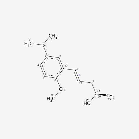 COc1ccc(C(C)C)cc1/C=C/C[C@@H](C)O